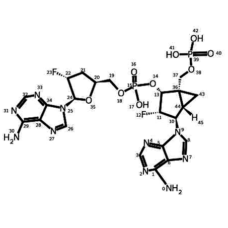 Nc1ncnc2c1ncn2[C@H]1[C@H](F)[C@H](OP(=O)(O)OC[C@@H]2C[C@@H](F)[C@H](n3cnc4c(N)ncnc43)O2)[C@@]2(COP(=O)(O)O)C[C@H]12